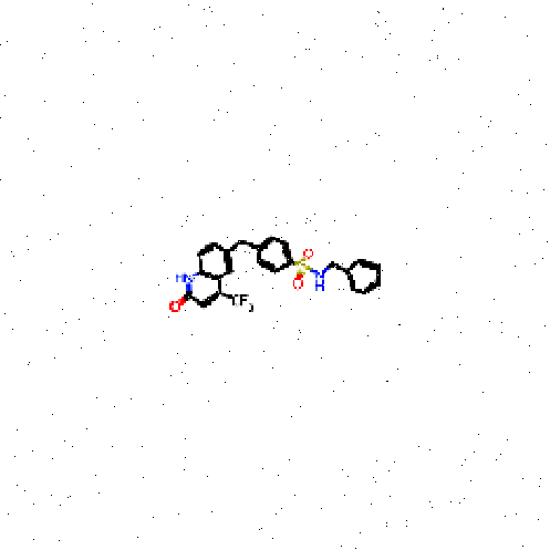 O=c1cc(C(F)(F)F)c2cc(Cc3ccc(S(=O)(=O)NCc4ccccc4)cc3)ccc2[nH]1